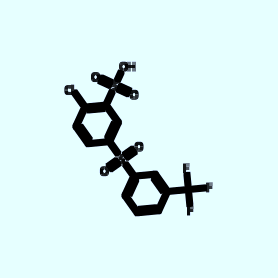 O=S(=O)(O)c1cc(S(=O)(=O)c2cccc(C(F)(F)F)c2)ccc1Cl